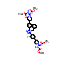 CC(C)(C)OC(=O)/N=C(/NC(=O)OC(C)(C)C)N1CC=C(c2ccc(-c3nnc(-c4ccc(C5=CCN(/C(=N/C(=O)OC(C)(C)C)NC(=O)OC(C)(C)C)CC5)cc4)n3Cc3ccccc3)c(F)c2)CC1